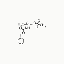 CC1(NC(=O)OCc2ccccc2)CC1COS(C)(=O)=O